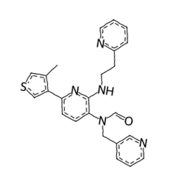 Cc1cscc1-c1ccc(N(C=O)Cc2cccnc2)c(NCCc2ccccn2)n1